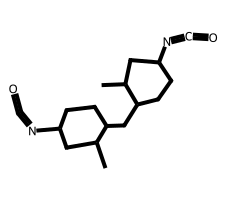 CC1CC(N=C=O)CCC1CC1CCC(N=C=O)CC1C